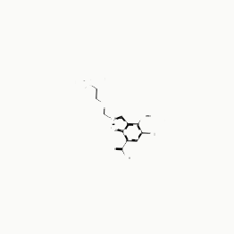 COc1c(Br)cc(C(=O)O)c2nn(COCC[Si](C)(C)C)cc12